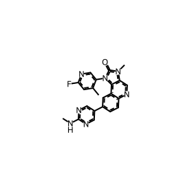 CNc1ncc(-c2ccc3ncc4c(c3c2)n(-c2cnc(F)cc2C)c(=O)n4C)cn1